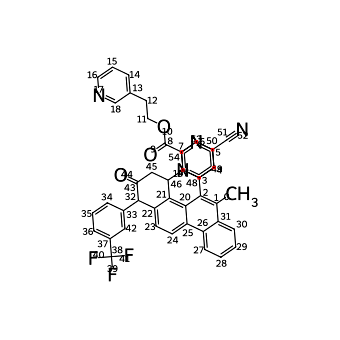 Cc1c(-c2ccnc(C(=O)OCCc3cccnc3)n2)c2c3c(ccc2c2ccccc12)C(c1cccc(C(F)(F)F)c1)C(=O)CC3c1ccc(C#N)cc1